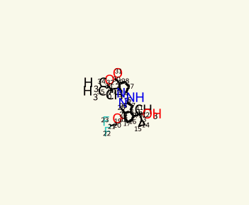 C[C@@H]1c2nc(Nc3cc4c([C@](C)(O)C5CC5)ccc(OCC(F)F)c4cn3)ccc2C(=O)OC1(C)C